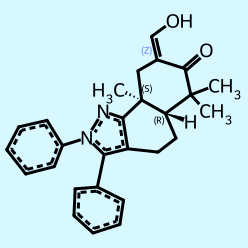 CC1(C)C(=O)/C(=C\O)C[C@]2(C)c3nn(-c4ccccc4)c(-c4ccccc4)c3CC[C@@H]12